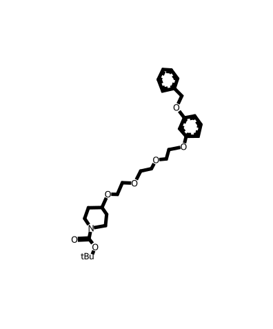 CC(C)(C)OC(=O)N1CCC(OCCOCCOCCOc2cccc(OCc3ccccc3)c2)CC1